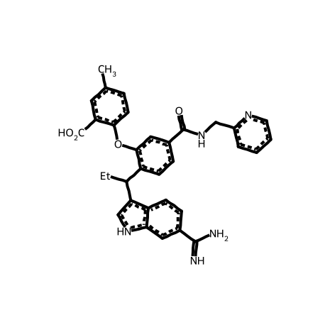 CCC(c1ccc(C(=O)NCc2ccccn2)cc1Oc1ccc(C)cc1C(=O)O)c1c[nH]c2cc(C(=N)N)ccc12